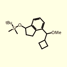 COC(c1cccc2c1CCC2O[Si](C)(C)C(C)(C)C)C1CCC1